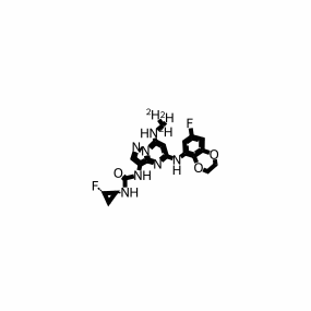 [2H]C([2H])([2H])Nc1cc(Nc2cc(F)cc3c2OCCO3)nc2c(NC(=O)N[C@@H]3C[C@@H]3F)cnn12